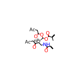 C=C(C)C(=O)OC(CCC)OC(=O)CC(C)=O.C=CC(=O)NCCC(=O)CC(C)=O